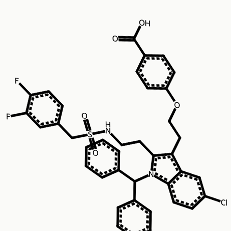 O=C(O)c1ccc(OCCc2c(CCNS(=O)(=O)Cc3ccc(F)c(F)c3)n(C(c3ccccc3)c3ccccc3)c3ccc(Cl)cc23)cc1